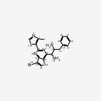 Cc1ncsc1-c1nc(C(N)C(N)Cc2ccccc2)c2scc(Br)c2n1